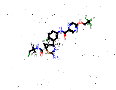 CC(C)(CF)NC(=O)[C@]12C[C@H]1[C@@](C)(c1cc(NC(=O)c3cnc(OCC(F)(F)F)cn3)ccc1F)N=C(N)S2